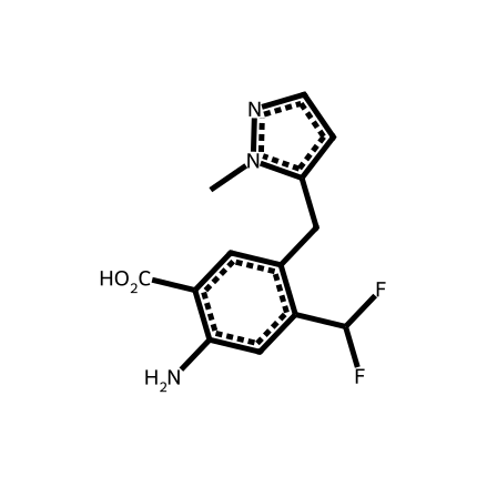 Cn1nccc1Cc1cc(C(=O)O)c(N)cc1C(F)F